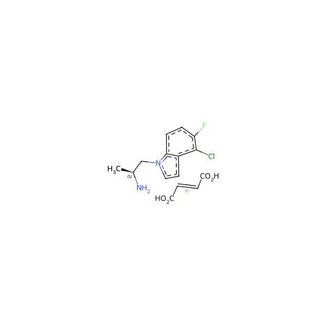 C[C@H](N)Cn1ccc2c(Cl)c(F)ccc21.O=C(O)/C=C/C(=O)O